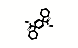 COC(=O)C1(C2CCCCC2)C=CC(C(=O)OC)(C2CCCCC2)C=C1